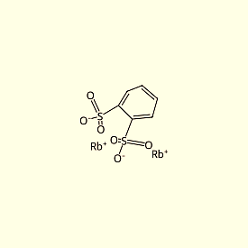 O=S(=O)([O-])c1ccccc1S(=O)(=O)[O-].[Rb+].[Rb+]